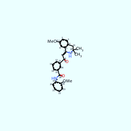 COc1ccc2c(c1)C(=CC(=O)c1cccc(C(=O)Nc3ccccc3OC)c1)NC(C)(C)C2